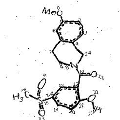 COc1ccc2c(c1)CCN(C(=O)c1cc(S(C)(=O)=O)ccc1OC(C)C)C2